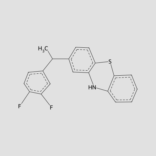 CC(c1ccc(F)c(F)c1)c1ccc2c(c1)Nc1ccccc1S2